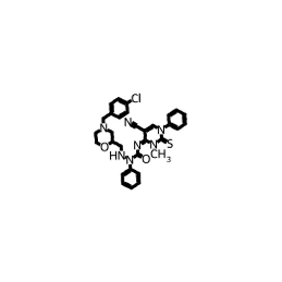 Cn1c(=NC(=O)N(NCC2CN(Cc3ccc(Cl)cc3)CCO2)c2ccccc2)c(C#N)cn(-c2ccccc2)c1=S